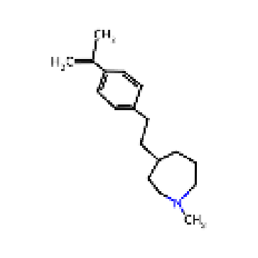 C=C(C)c1ccc(CCC2CCCN(C)CC2)cc1